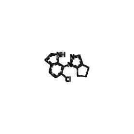 Clc1ccc2cc[nH]c2c1-n1ncc2c1CCC2